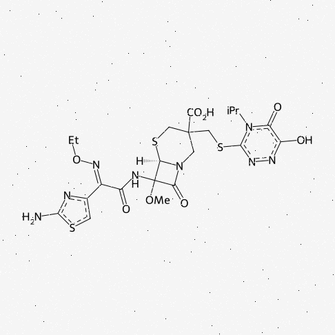 CCON=C(C(=O)NC1(OC)C(=O)N2CC(CSc3nnc(O)c(=O)n3C(C)C)(C(=O)O)CS[C@@H]21)c1csc(N)n1